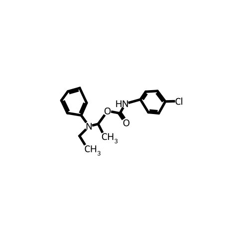 CCN(c1ccccc1)C(C)OC(=O)Nc1ccc(Cl)cc1